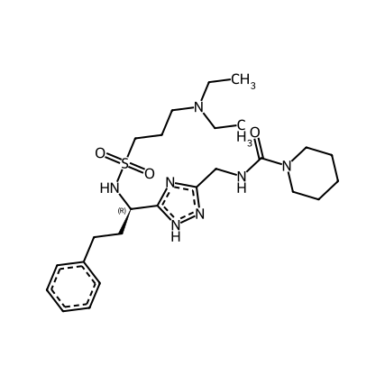 CCN(CC)CCCS(=O)(=O)N[C@H](CCc1ccccc1)c1nc(CNC(=O)N2CCCCC2)n[nH]1